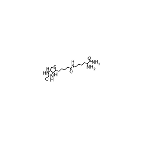 NC(=O)[C@@H](N)CCCCNC(=O)CCCC[C@@H]1SC[C@@H]2NC(=O)N[C@@H]21